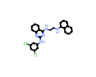 Clc1cc(Cl)cc(Nc2nc(NCCNc3cccc4ccccc34)c3ccccc3n2)c1